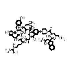 C=C(C)CC1(C(=O)N[C@@H](CCCC)C(=O)N2CCN(c3ccc4ncn(CC(=O)N[C@@H](CCCNC(=N)N)C(=O)N[C@@H](Cc5c[nH]cn5)C(=O)N[C@@H](Cc5ccc(O)cc5)C(=O)N[C@@H](CC(C)C)C(=O)NC)c(=O)c4c3)CC2)Cc2ccccc2C1